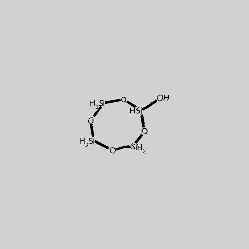 O[SiH]1O[SiH2]O[SiH2]O[SiH2]O1